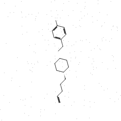 C=CCCC[C@H]1CC[C@H](CCc2ccc(C(C)=O)cc2)CC1